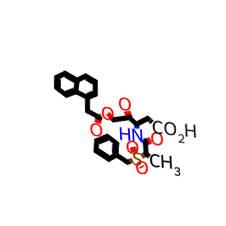 CC(C(=O)NC(CC(=O)O)C(=O)COC(=O)Cc1cccc2ccccc12)S(=O)(=O)Cc1ccccc1